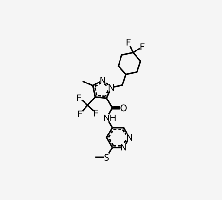 CSc1cc(NC(=O)c2c(C(F)(F)F)c(C)nn2CC2CCC(F)(F)CC2)cnn1